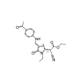 CCOC(=O)/C(C#N)=c1\sc(=CNc2ccc(C(C)=O)cc2)c(=O)n1CC